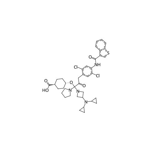 O=C(Nc1cc(Cl)c(CC(=O)C(O[C@H]2CC[C@H](C(=O)O)CC2)(N2CCCC2)N2CC(N(C3CC3)C3CC3)C2)cc1Cl)c1csc2ccccc12